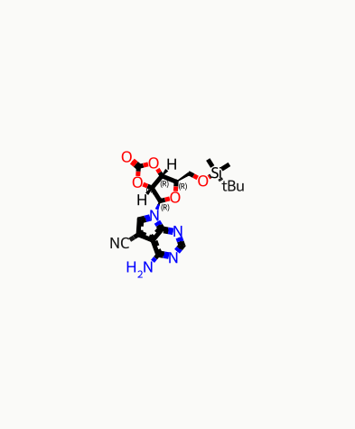 CC(C)(C)[Si](C)(C)OC[C@H]1O[C@@H](n2cc(C#N)c3c(N)ncnc32)[C@@H]2OC(=O)O[C@@H]21